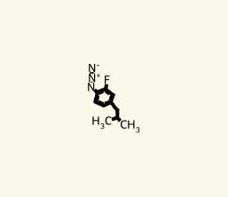 CC(C)Cc1ccc(N=[N+]=[N-])c(F)c1